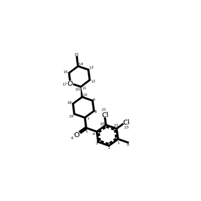 Cc1ccc(C(=O)C2CCC([C@@H]3CCC(C)CO3)CC2)c(Cl)c1Cl